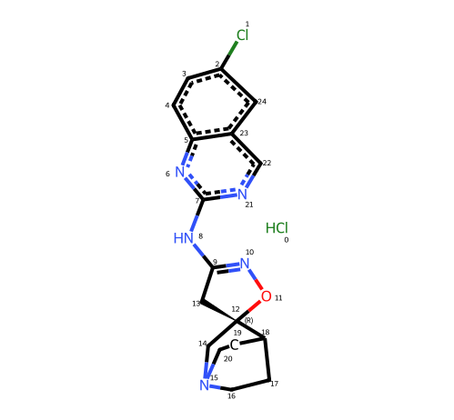 Cl.Clc1ccc2nc(NC3=NO[C@@]4(C3)CN3CCC4CC3)ncc2c1